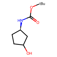 CC(C)(C)OC(=O)N[C@@H]1CCC(O)C1